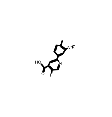 [C-]#[N+]c1cc(-c2cc(C(=O)O)c(F)cn2)ccc1C